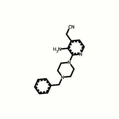 N#CCc1ccnc(N2CCN(Cc3ccccc3)CC2)c1N